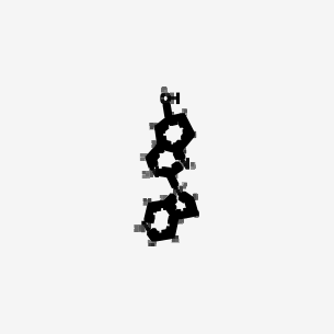 Oc1ccc2nc(-n3ccc4ccncc43)ncc2c1